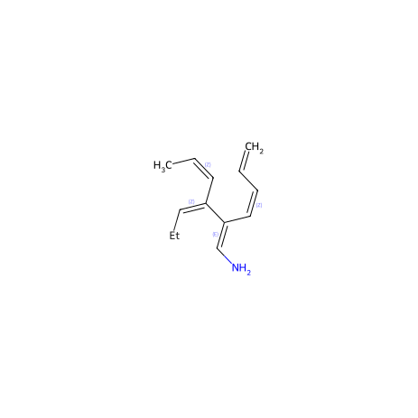 C=C\C=C/C(=C\N)C(/C=C\C)=C\CC